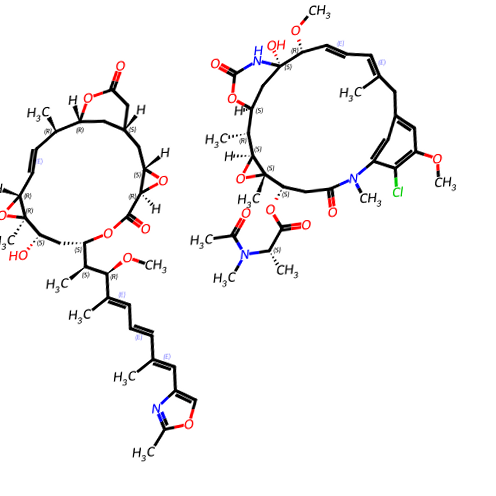 CO[C@@H](/C(C)=C/C=C/C(C)=C/c1coc(C)n1)[C@@H](C)[C@@H]1C[C@H](O)[C@@]2(C)O[C@@H]2/C=C/[C@@H](C)[C@H]2C[C@H](CC(=O)O2)C[C@@H]2O[C@H]2C(=O)O1.COc1cc2cc(c1Cl)N(C)C(=O)C[C@H](OC(=O)[C@H](C)N(C)C(C)=O)[C@]1(C)O[C@H]1[C@H](C)[C@@H]1C[C@@](O)(NC(=O)O1)[C@H](OC)/C=C/C=C(\C)C2